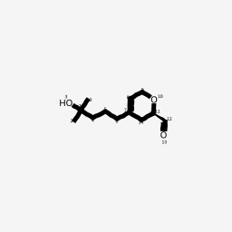 CC(C)(O)CCCC1=CCO[C@@H](C=O)C1